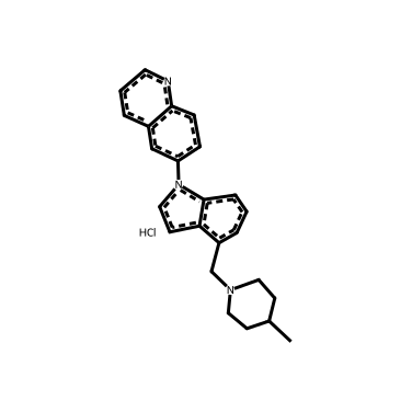 C[C]1CCN(Cc2cccc3c2ccn3-c2ccc3ncccc3c2)CC1.Cl